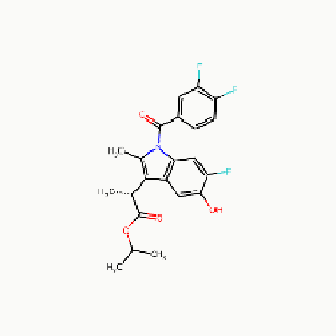 Cc1c([C@@H](C)C(=O)OC(C)C)c2cc(O)c(F)cc2n1C(=O)c1ccc(F)c(F)c1